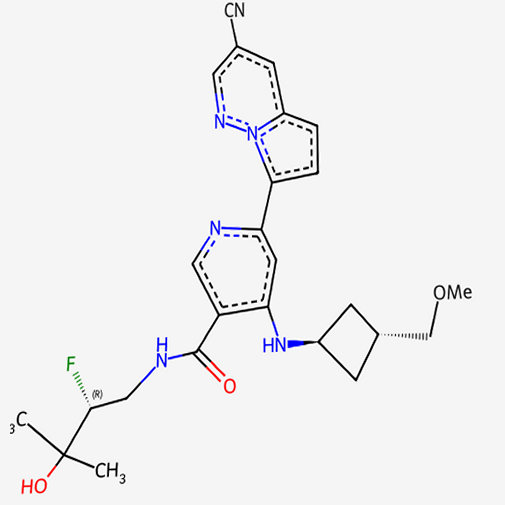 COC[C@H]1C[C@H](Nc2cc(-c3ccc4cc(C#N)cnn34)ncc2C(=O)NC[C@@H](F)C(C)(C)O)C1